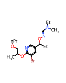 CCCOCC(C)Oc1ncc(C(CC)ON=CN(C)CC)cc1Br